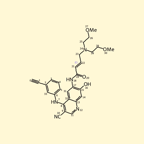 C#Cc1cccc(Nc2c(C#N)cnc3cc(O)c(NC(=O)/C=C/CN(CCOC)CCOC)cc23)c1